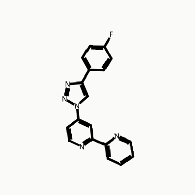 Fc1ccc(-c2cn(-c3ccnc(-c4ccccn4)c3)nn2)cc1